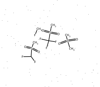 CF.CS(=O)(=O)C(F)(F)F.CS(=O)(=O)C(F)F.CS(C)(=O)=O